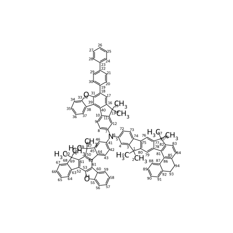 CC1(C)c2cc(N(c3ccc4c(c3)C(C)(C)c3cc(-c5ccc(-c6ccccc6)cc5)c5oc6ccccc6c5c3-4)c3ccc4c(c3)C(C)(C)c3c5c(c6oc7ccccc7c6c3-4)-c3ccccc3C5(C)C)ccc2-c2cc3c(cc21)-c1c(ccc2c1-c1ccccc1CC2)C3(C)C